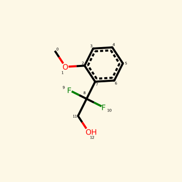 COc1ccccc1C(F)(F)CO